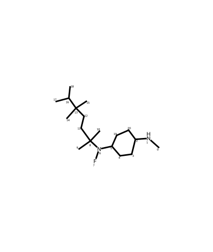 CNC1CCC(N(F)C(C)(C)CCC(C)(C)C(C)C)CC1